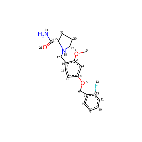 COc1cc(OCc2ccccc2F)ccc1CN1CCC[C@H]1C(N)=O